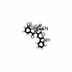 CS(=O)(=O)N(C#N)C(=O)C(Cc1c[nH]c2ccccc12)NC(=O)c1cccc(C(F)(F)F)c1